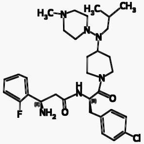 CC(C)CN(C1CCN(C(=O)[C@@H](Cc2ccc(Cl)cc2)NC(=O)C[C@@H](N)c2ccccc2F)CC1)N1CCN(C)CC1